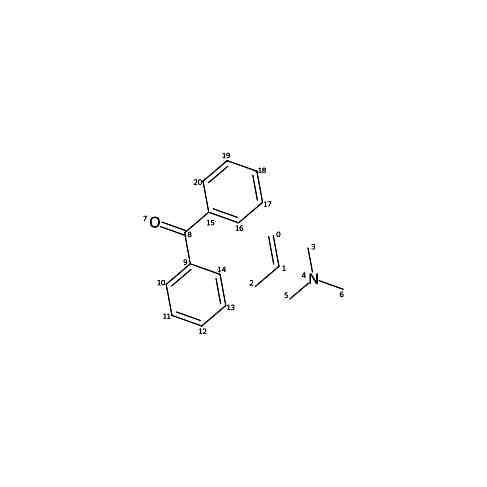 C=CC.CN(C)C.O=C(c1ccccc1)c1ccccc1